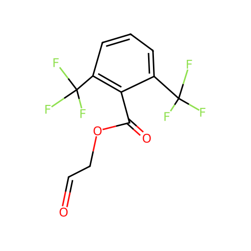 O=CCOC(=O)c1c(C(F)(F)F)cccc1C(F)(F)F